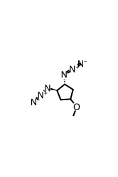 COC1C[C@@H](N=[N+]=[N-])[C@H](N=[N+]=[N-])C1